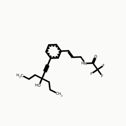 CCCC(O)(C#Cc1cccc(C=CCNC(=O)C(F)(F)F)c1)CCC